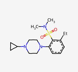 CCc1cccc(N2CCN(C3CC3)CC2)c1S(=O)(=O)N(C)C